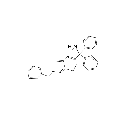 C=C1C=C(C(N)(c2ccccc2)c2ccccc2)CC/C1=C/CCc1ccccc1